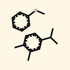 COc1ccccc1.Cc1ccc(C(C)C)cc1C